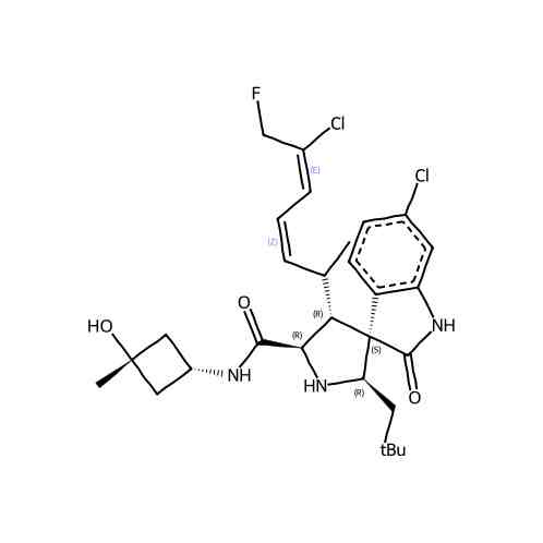 CC(/C=C\C=C(\Cl)CF)[C@H]1[C@H](C(=O)N[C@H]2C[C@@](C)(O)C2)N[C@H](CC(C)(C)C)[C@]12C(=O)Nc1cc(Cl)ccc12